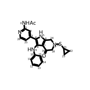 CC(=O)Nc1cc(-c2[nH]c3c(c2Nc2ccccc2)C(=O)CN(SC2CC2)C3)ccn1